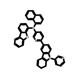 C1=Cc2c(n(-c3cccnc3)c3ccc(-c4ccc(N(c5cccc6ccccc56)c5cccc6c5oc5ccccc56)cn4)cc23)CC1